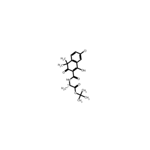 C[C@H](NC(=O)C1=C(O)c2cc(Cl)ccc2C(C)(C)C1=O)C(=O)OC(C)(C)C